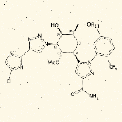 CO[C@@H]1[C@@H](n2cc(-c3nc(Cl)cs3)nn2)[C@@H](O)[C@@H](CO)O[C@H]1c1cc(C(N)=O)nn1-c1cc(Cl)ccc1C(F)(F)F